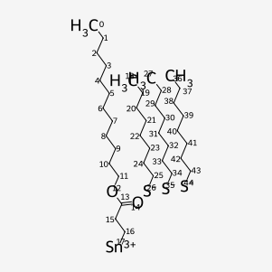 CCCCCCCCCCCCOC(=O)C[CH2][Sn+3].CCCCCCCC[S-].CCCCCCCC[S-].CCCCCCCC[S-]